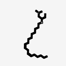 CCCCC/C=C\C/C=C\CCCCCCCCOC(CC)CN(C)C